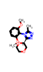 COc1cccc(OC)c1-n1c(C)nnc1[C@H]1COCCO1